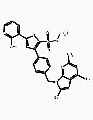 CCc1nc2c(C)cc(C)nc2n1Cc1ccc(-c2cc(-c3cccnc3OC)sc2S(=O)(=O)NC(=O)O)cc1